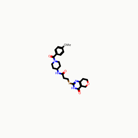 COc1ccc(C(=O)N2CCC(NC(=O)CCSc3nc4c(c(=O)[nH]3)COCC4)CC2)cc1